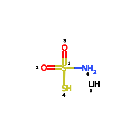 NS(=O)(=O)S.[LiH]